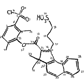 Cc1ccc(S(=O)(=O)Cl)c(C)c1OC(=O)C1=[N+](CCCS(=O)(=O)O)c2c(ccc3ccccc23)C1(C)C